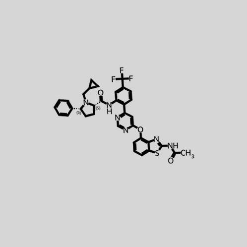 CC(=O)Nc1nc2c(Oc3cc(-c4ccc(C(F)(F)F)cc4NC(=O)[C@@H]4CC[C@H](c5ccccc5)N4CC4CC4)ncn3)cccc2s1